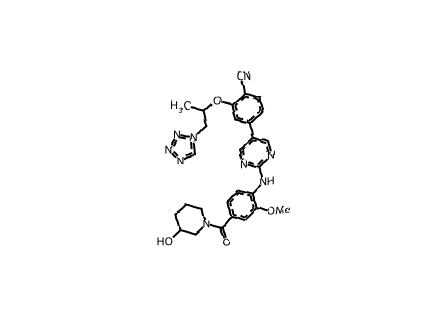 COc1cc(C(=O)N2CCCC(O)C2)ccc1Nc1ncc(-c2ccc(C#N)c(OC(C)Cn3cnnn3)c2)cn1